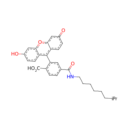 CC(C)CCCCCCNC(=O)c1ccc(C(=O)O)c(-c2c3ccc(=O)cc-3oc3cc(O)ccc23)c1